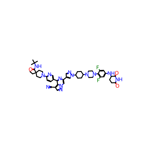 CCC1(C(=O)NC(C)(C)C)CCN(c2ccc(-c3nc(-c4cnn(C5CCC(N6CCN(c7c(F)cc(NC8CCC(=O)NC8=O)cc7F)CC6)CC5)c4)cn4ncc(C#N)c34)cn2)CC1